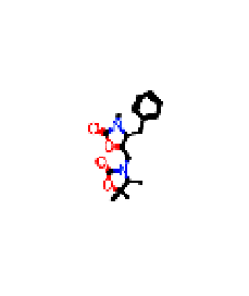 C[C@@H]1N(CC2OC(=O)N(C)[C@H]2Cc2ccccc2)C(=O)OC1(C)C